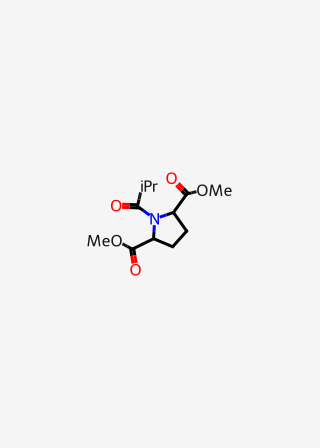 COC(=O)C1CCC(C(=O)OC)N1C(=O)C(C)C